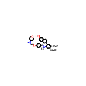 CCN(Cc1ccc(OCCN(C)C2CCOCC2)cc1)C1C=C(OC)C(OC)=CC1[C@@H]1CCc2cc(O)ccc2C1